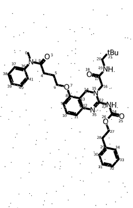 CN(C(=O)CCCOc1cccc2c1CN(CC(=O)NCC(C)(C)C)C(NC(=O)OCCc1ccccc1)=N2)c1ccccc1